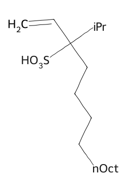 C=CC(CCCCCCCCCCCC)(C(C)C)S(=O)(=O)O